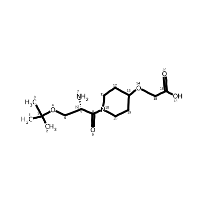 CC(C)(C)OC[C@H](N)C(=O)N1CCC(OCC(=O)O)CC1